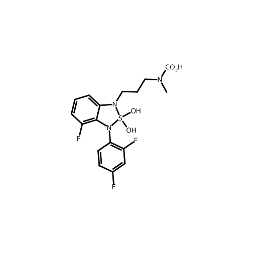 CN(CCCN1c2cccc(F)c2N(c2ccc(F)cc2F)S1(O)O)C(=O)O